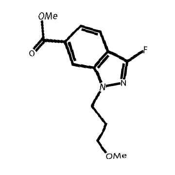 COCCCn1nc(F)c2ccc(C(=O)OC)cc21